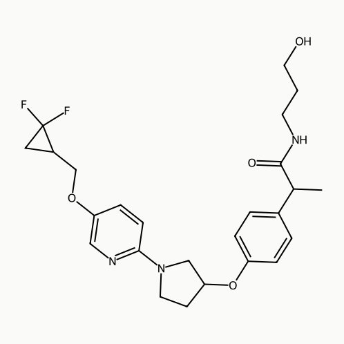 CC(C(=O)NCCCO)c1ccc(OC2CCN(c3ccc(OCC4CC4(F)F)cn3)C2)cc1